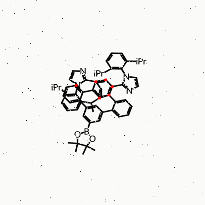 CC(C)c1cccc(C(C)C)c1-n1ccnc1-c1ccc(-c2ccccc2-c2cc(B3OC(C)(C)C(C)(C)O3)cc(-c3ccccc3-c3ccc4cc3C(C)c3cccc(C(C)C)c3-n3ccnc3-4)c2)cc1